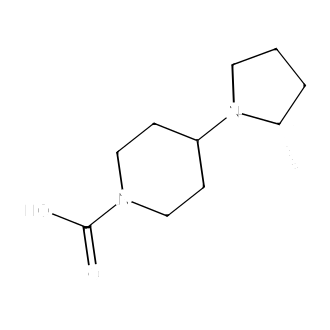 C[C@H]1CCCN1C1CCN(C(=O)O)CC1